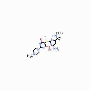 CCOc1nc(N2CCN(C)CC2)nc(OCC)c1Sc1nc(N)cc(C2(NC=O)CC2)n1